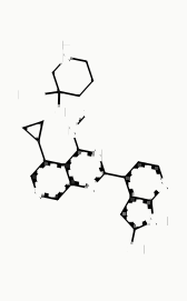 Cc1cc2c(-c3nc(NC[C@H]4CCNCC4(C)C)c4c(C5CC5)cncc4n3)ccnc2[nH]1